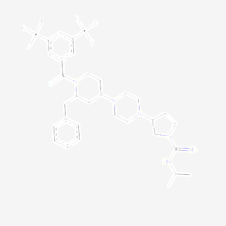 CC(C)NC(=N)N1CCC(N2CCN(C3CCN(C(=O)c4cc(C(F)(F)F)cc(C(F)(F)F)c4)C(Cc4ccccc4)C3)CC2)C1